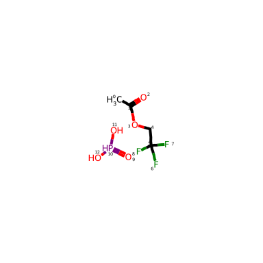 CC(=O)OCC(F)(F)F.O=[PH](O)O